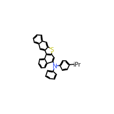 CC(C)c1ccc(N(c2ccccc2)c2cc3sc4cc5ccccc5cc4c3c3ccccc23)cc1